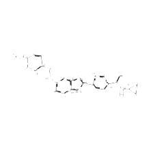 N#CC1C=CC(COc2ccc3nc(-c4ccc(C(=O)NC5CC5)cc4)[nH]c3c2)=CC1